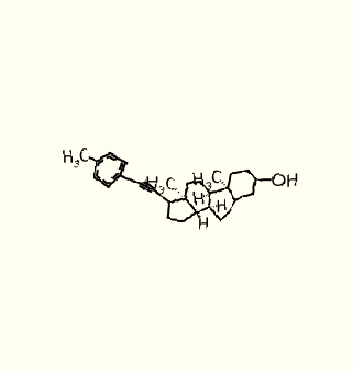 Cc1ccc(C#CC2CC[C@H]3[C@@H]4CCC5CC(O)CC[C@]5(C)[C@@H]4CC[C@]23C)cc1